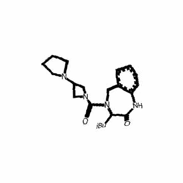 CCC(C)C1C(=O)Nc2ccccc2CN1C(=O)N1CC(N2CCCC2)C1